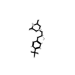 CC1CN(C[C@H](C)Cc2ccc(C(C)(C)C)cc2)CC(C)O1